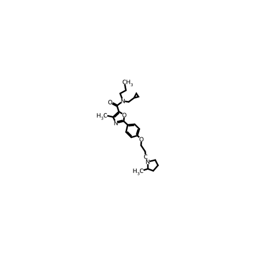 CCCN(CC1CC1)C(=O)c1oc(-c2ccc(OCCCN3CCCC3C)cc2)nc1C